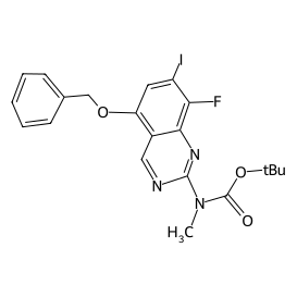 CN(C(=O)OC(C)(C)C)c1ncc2c(OCc3ccccc3)cc(I)c(F)c2n1